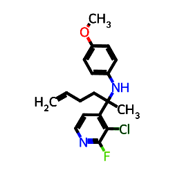 C=CCCC(C)(Nc1ccc(OC)cc1)c1ccnc(F)c1Cl